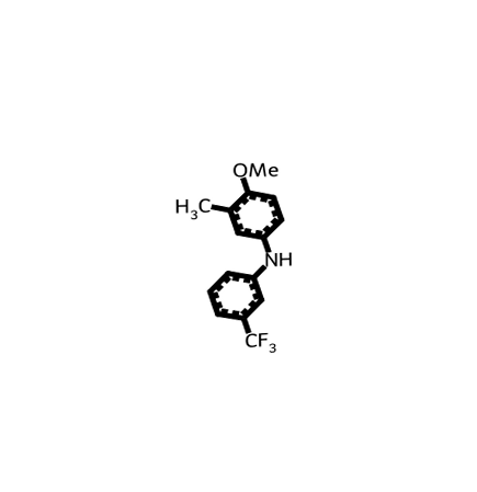 COc1ccc(Nc2cccc(C(F)(F)F)c2)cc1C